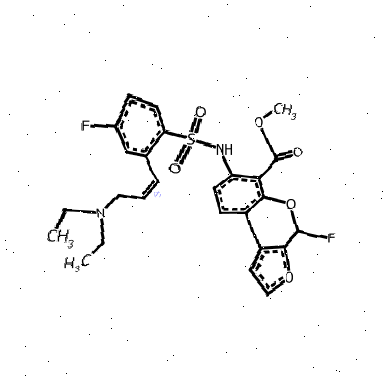 CCN(CC)C/C=C\c1cc(F)ccc1S(=O)(=O)Nc1ccc2c(c1C(=O)OC)OC(F)c1occc1-2